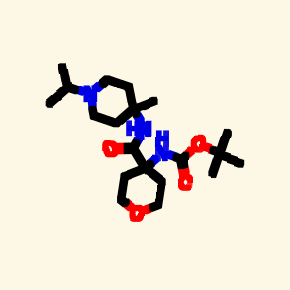 CC(C)N1CCC(C)(NC(=O)C2(NC(=O)OC(C)(C)C)CCOCC2)CC1